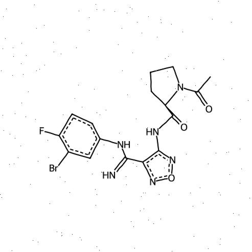 CC(=O)N1CCCC1C(=O)Nc1nonc1C(=N)Nc1ccc(F)c(Br)c1